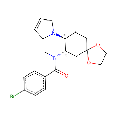 CN(C(=O)c1ccc(Br)cc1)[C@H]1CC2(CC[C@@H]1N1CC=CC1)OCCO2